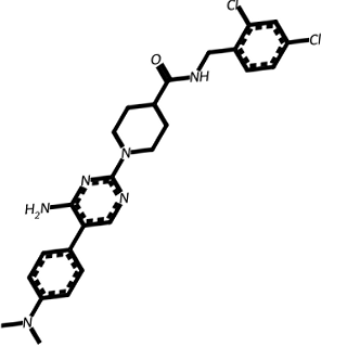 CN(C)c1ccc(-c2cnc(N3CCC(C(=O)NCc4ccc(Cl)cc4Cl)CC3)nc2N)cc1